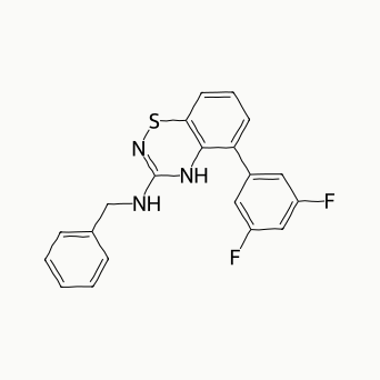 Fc1cc(F)cc(-c2cccc3c2NC(NCc2ccccc2)=NS3)c1